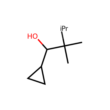 CC(C)C(C)(C)C(O)C1CC1